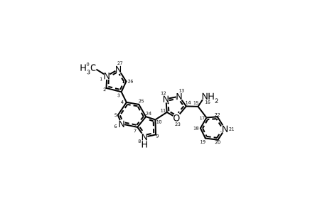 Cn1cc(-c2cnc3[nH]cc(-c4nnc(C(N)c5cccnc5)o4)c3c2)cn1